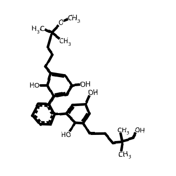 COC(C)(C)CCCC1=CC(O)C=C(c2ccccc2C2=CC(O)C=C(CCCC(C)(C)CO)C2O)C1O